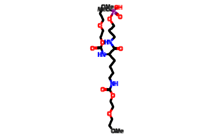 COCCOCCOC(=O)NCCCCC(NC(=O)OCCOCCOC)C(=O)NCCCOP(=O)(O)OC